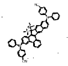 C[Si](C)(C)C1([Si](C)(C)C)c2cc3cc(N(c4ccccc4)c4ccc(C#N)cc4)ccc3cc2-c2c1c1ccc(N(c3ccccc3)c3ccc(C#N)cc3)cc1c1ccccc21